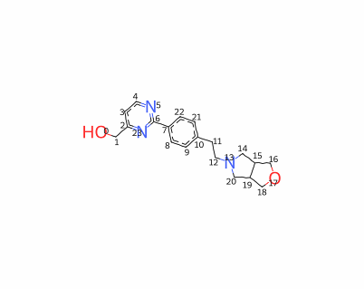 OCc1ccnc(-c2ccc(CCN3CC4COCC4C3)cc2)n1